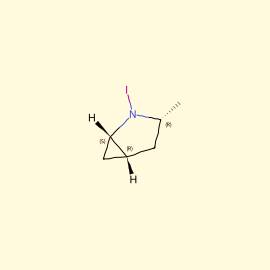 C[C@@H]1C[C@@H]2C[C@@H]2N1I